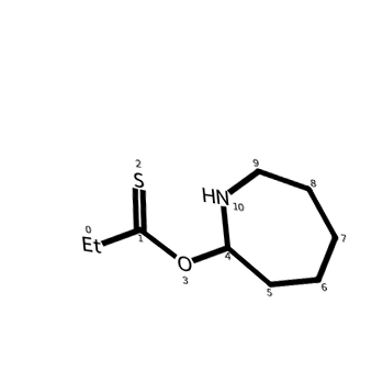 CCC(=S)OC1CCCCCN1